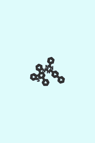 c1ccc(-c2ccc(-c3nc(-c4ccccc4)nc(-n4c5ccccc5c5c6c(sc7ccccc76)c(-c6ccccc6)cc54)n3)cc2)cc1